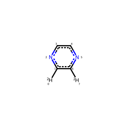 [2H]c1nccnc1[2H]